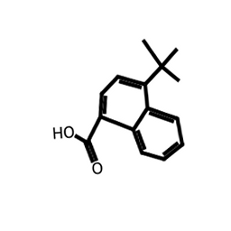 CC(C)(C)c1ccc(C(=O)O)c2ccccc12